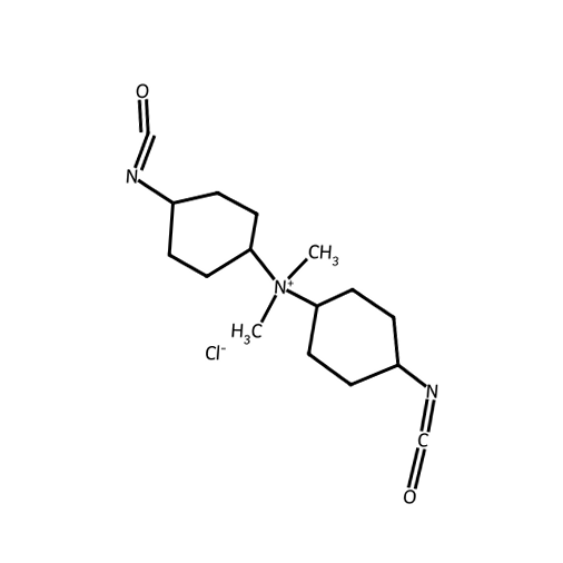 C[N+](C)(C1CCC(N=C=O)CC1)C1CCC(N=C=O)CC1.[Cl-]